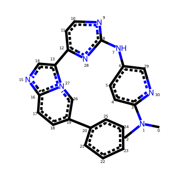 CN(C)c1ccc(Nc2nccc(-c3cnc4ccc(-c5ccccc5)cn34)n2)cn1